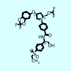 CCS(=O)(=O)c1ccc([C@H](CO)NC(=O)c2ccc(N3C[C@@H](Oc4ccc5c(c4)OC(F)(F)O5)C[C@H]3COC(F)F)cc2)cc1